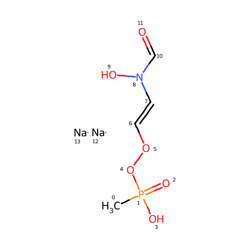 CP(=O)(O)OOC=CN(O)C=O.[Na].[Na]